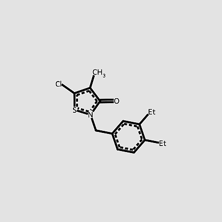 CCc1ccc(Cn2sc(Cl)c(C)c2=O)cc1CC